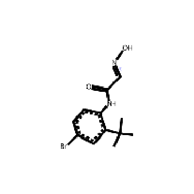 CC(C)(C)c1cc(Br)ccc1NC(=O)/C=N/O